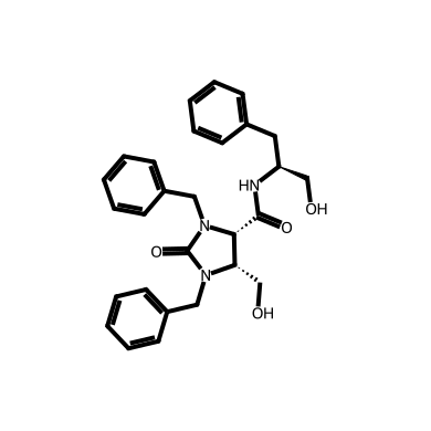 O=C(N[C@H](CO)Cc1ccccc1)[C@@H]1[C@H](CO)N(Cc2ccccc2)C(=O)N1Cc1ccccc1